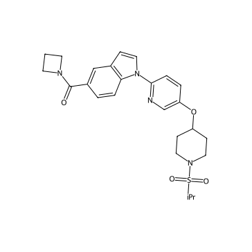 CC(C)S(=O)(=O)N1CCC(Oc2ccc(-n3ccc4cc(C(=O)N5CCC5)ccc43)nc2)CC1